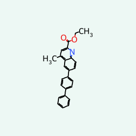 CCOC(=O)c1cc(C)c2cc(-c3ccc(-c4ccccc4)cc3)ccc2n1